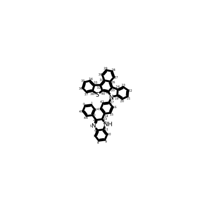 c1ccc(C2=Nc3ccccc3NC2c2ccc(-n3c4ccccc4c4c5ccccc5c5c6ccccc6sc5c43)cc2)cc1